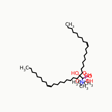 CCCCCCCC/C=C\CCCCCCCC(=O)C(O)(C(=O)CCCCCCC/C=C\CCCCCCCC)C([N+](C)(C)C)P(=O)(O)O